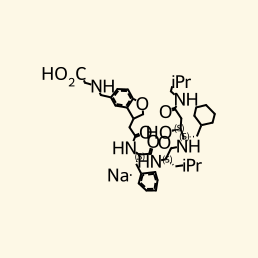 CC(C)CNC(=O)C[C@H](O)[C@H](CC1CCCCC1)NC(=O)[C@H](CC(C)C)NC(=O)[C@H](Cc1ccccc1)NC(=O)CC1COc2ccc(CNCC(=O)O)cc21.[Na]